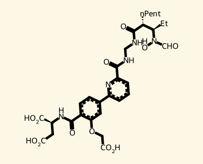 CCCCC[C@@H](C(=O)NCNC(=O)c1cccc(-c2ccc(C(=O)N[C@@H](CC(=O)O)C(=O)O)c(OCC(=O)O)c2)n1)[C@@H](CC)N(O)C=O